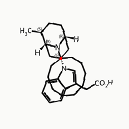 C[C@H]1CC[C@@H]2C[C@H](n3cc(CC(=O)O)c4ccccc43)C[C@H]1N2C1CCCCCCCCC1